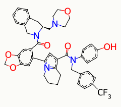 O=C(c1cc(-c2cc3c(cc2C(=O)N2Cc4ccccc4C[C@H]2CN2CCOCC2)OCO3)n2c1CCCC2)N(Cc1ccc(C(F)(F)F)cc1)c1ccc(O)cc1